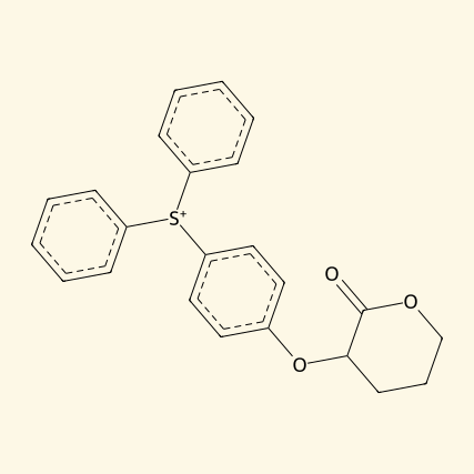 O=C1OCCCC1Oc1ccc([S+](c2ccccc2)c2ccccc2)cc1